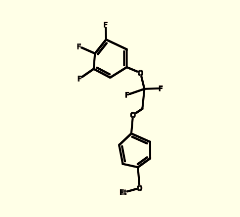 CCOc1ccc(OCC(F)(F)Oc2cc(F)c(F)c(F)c2)cc1